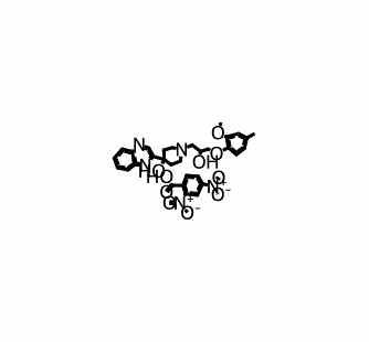 COc1cc(C)ccc1OCC(O)CN1CCC(O)(c2cnc3ccccc3n2)CC1.O=C(O)c1ccc([N+](=O)[O-])cc1[N+](=O)[O-]